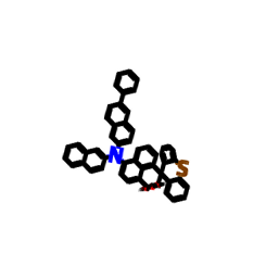 c1ccc(-c2ccc3cc(N(c4ccc5ccccc5c4)c4ccc5c6c(cccc46)C4(c6ccccc6Sc6ccccc64)c4ccccc4-5)ccc3c2)cc1